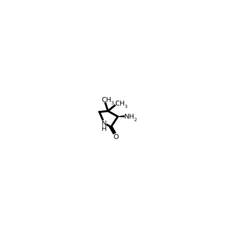 CC1(C)CNC(=O)[C@@H]1N